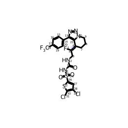 O=C(NC/C(F)=C1\CCCn2nnc(-c3ccc(C(F)(F)F)cc3)c21)NS(=O)(=O)c1cc(Cl)c(Cl)s1